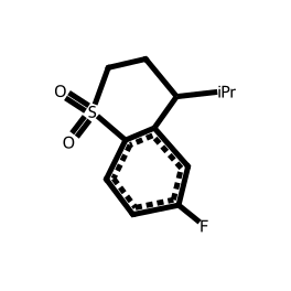 CC(C)C1CCS(=O)(=O)c2ccc(F)cc21